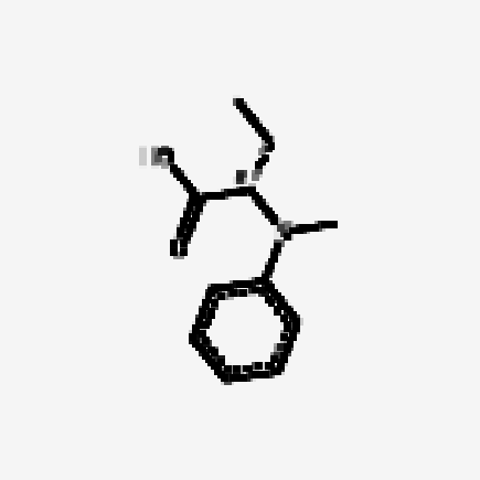 CC[C@@H](C(=O)O)N(C)c1ccccc1